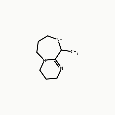 CC1NCCCN2CCCN=C12